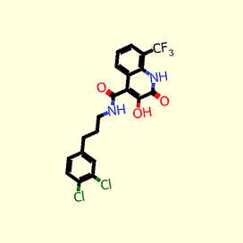 O=C(NCCCc1ccc(Cl)c(Cl)c1)c1c(O)c(=O)[nH]c2c(C(F)(F)F)cccc12